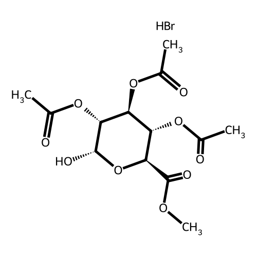 Br.COC(=O)[C@H]1O[C@H](O)[C@H](OC(C)=O)[C@@H](OC(C)=O)[C@@H]1OC(C)=O